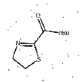 CCCCC(=O)C1=NCCS1